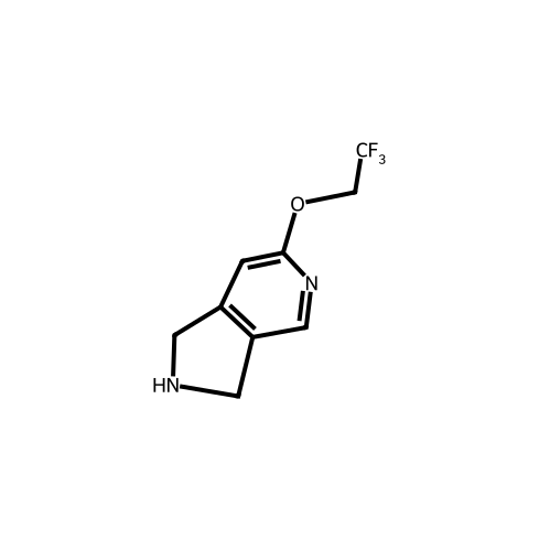 FC(F)(F)COc1cc2c(cn1)CNC2